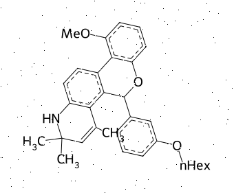 CCCCCCOc1cccc(C2Oc3cccc(OC)c3-c3ccc4c(c32)C(C)=CC(C)(C)N4)c1